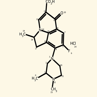 CC1CN(c2c(F)cc3c(=O)c(C(=O)O)cn4c3c2CC4C)CCN1C.Cl